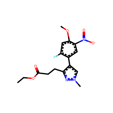 CCOC(=O)CCc1nn(C)cc1-c1cc([N+](=O)[O-])c(OC)cc1F